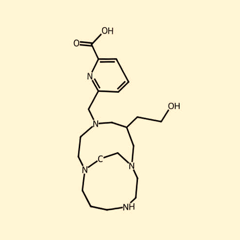 O=C(O)c1cccc(CN2CCN3CCCNCCN(CC3)CC(CCO)C2)n1